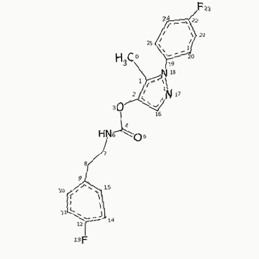 Cc1c(OC(=O)NCCc2ccc(F)cc2)cnn1-c1ccc(F)cc1